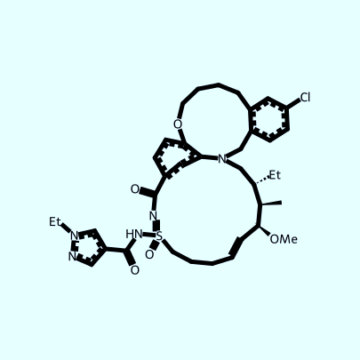 CC[C@H]1CN2Cc3ccc(Cl)cc3CCCCOc3ccc(cc32)C(=O)N=S(=O)(NC(=O)c2cnn(CC)c2)CCC/C=C/[C@H](OC)[C@@H]1C